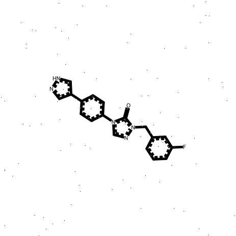 O=c1n(-c2ccc(-c3cn[nH]c3)cc2)cnn1Cc1cccc(F)c1